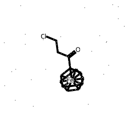 O=C(CCCl)[C]12[CH]3[CH]4[CH]5[CH]1[Fe]45321678[CH]2[CH]1[CH]6[CH]7[CH]28